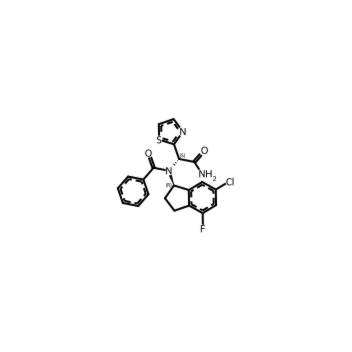 NC(=O)[C@@H](c1nccs1)N(C(=O)c1ccccc1)[C@@H]1CCc2c(F)cc(Cl)cc21